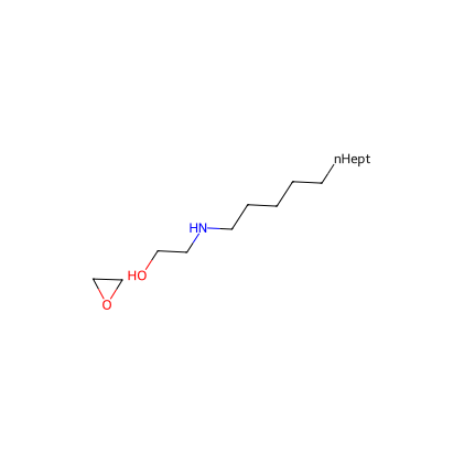 C1CO1.CCCCCCCCCCCCNCCO